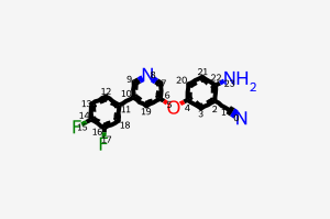 N#Cc1cc(Oc2cncc(-c3ccc(F)c(F)c3)c2)ccc1N